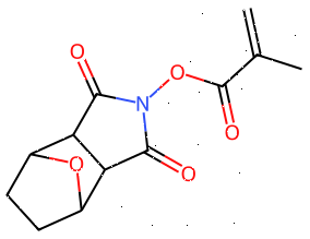 C=C(C)C(=O)ON1C(=O)C2C3CCC(O3)C2C1=O